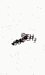 Cc1cc(OCc2ccc(Oc3cccc(OCC4CC4)c3)cn2)ccc1C(C)C(C)C